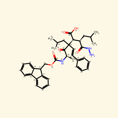 CC(C)C[C@@H](C(=O)NN)[C@H](C(=O)O)C(/C=C/c1ccccc1)(CC(C)C)C(=O)[C@@H](C)NC(=O)OCC1c2ccccc2-c2ccccc21